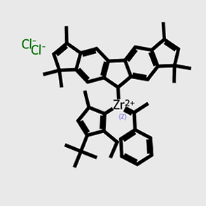 CCC1=[C](/[Zr+2](=[C](/C)c2ccccc2)[CH]2c3cc4c(cc3-c3cc5c(cc32)C(C)(C)C=C5C)C(C)=CC4(C)C)C(C)C=C1C(C)(C)C.[Cl-].[Cl-]